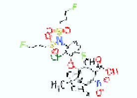 Cc1c(Oc2c(F)ccc(N(S(=O)(=O)CCCF)S(=O)(=O)CCCF)c2Cl)c(C(C)(C)C)cc([N+](=O)[O-])c1C(=O)O